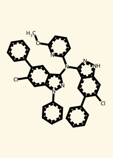 COc1cccc(N(c2n[nH]c3cc(Cl)c(-c4ccccc4)cc23)c2nn(-c3ccccc3)c3cc(Cl)c(-c4ccccc4)cc23)n1